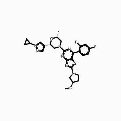 CO[C@@H]1CCN(c2nc3nc(N4C[C@@H](C)O[C@@H](c5cnn(C6CC6)c5)C4)nc(-c4ccc(F)cc4F)c3s2)C1